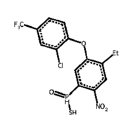 CCc1cc([N+](=O)[O-])c([PH](=O)S)cc1Oc1ccc(C(F)(F)F)cc1Cl